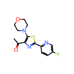 CC(=O)c1nc(-c2ccc(F)cn2)sc1N1CCOCC1